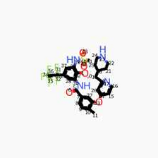 COc1c(NC(=O)c2ccc(C)c(Oc3ccnc(CC4CCNCC4)c3)c2)cc(C(F)(F)C(F)(F)F)cc1NS(C)(=O)=O